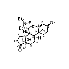 CCN(CC)CC.C[C@]12CCC(=O)C=C1CC[C@@H]1[C@@H]2CC[C@]2(C)C(=O)CC[C@@H]12